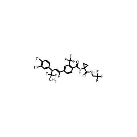 CC(F)(F)C(/C=C(\F)c1ccc(C(=O)NC2(C(=O)NCC(F)(F)F)CC2)c(C(F)(F)F)c1)c1ccc(Cl)c(Cl)c1